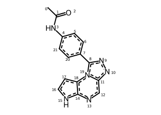 CC(=O)Nc1ccc(-c2nnc3cnc4[nH]ccc4n23)cc1